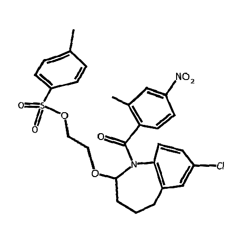 Cc1ccc(S(=O)(=O)OCCOC2CCCc3cc(Cl)ccc3N2C(=O)c2ccc([N+](=O)[O-])cc2C)cc1